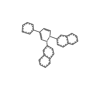 C1=CN(c2ccc3ccccc3c2)N(c2ccc3ccccc3c2)C=C1c1ccccc1